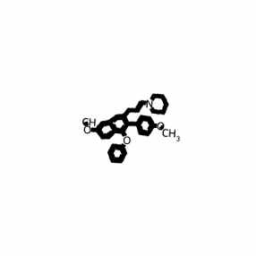 COc1ccc(-c2c(CC=CN3CCCCC3)cc3cc(OC)ccc3c2Oc2ccccc2)cc1